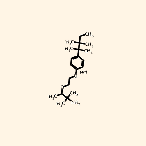 CCC(C)(C)C(C)(C)c1ccc(OCCOC(C)C(C)(C)N)cc1.Cl